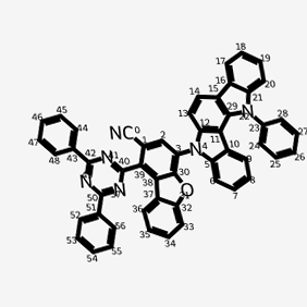 N#Cc1cc(-n2c3ccccc3c3c2ccc2c4ccccc4n(-c4ccccc4)c23)c2oc3ccccc3c2c1-c1nc(-c2ccccc2)nc(-c2ccccc2)n1